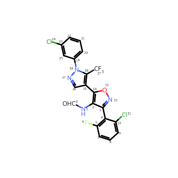 O=CNc1c(-c2c(F)cccc2Cl)noc1-c1cnn(-c2cccc(Cl)c2)c1C(F)(F)F